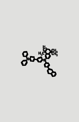 CC1(C)CCC(C)(C)c2cc(N(c3ccc(-c4ccc(N(c5ccccc5)c5ccccc5)cc4)cc3)c3ccc(-c4ccc5ccccc5c4)cc3)ccc21